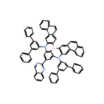 c1ccc(-c2cc(-c3ccccc3)cc(N3c4cc5c(ccc6ccccc65)cc4B4c5cc6ccc7ccccc7c6cc5N(c5cc(-c6ccccc6)cc(-c6ccccc6)c5)c5cc(-c6ncc7ccccc7n6)cc3c54)c2)cc1